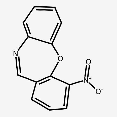 O=[N+]([O-])c1cccc2c1Oc1ccccc1N=C2